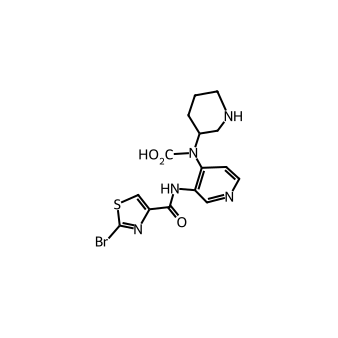 O=C(Nc1cnccc1N(C(=O)O)C1CCCNC1)c1csc(Br)n1